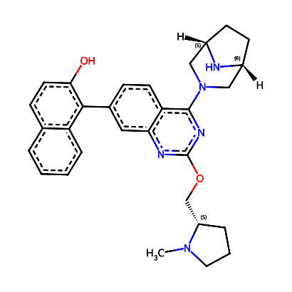 CN1CCC[C@H]1COc1nc(N2C[C@H]3CC[C@@H](C2)N3)c2ccc(-c3c(O)ccc4ccccc34)cc2n1